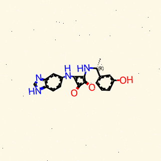 C[C@@H](Nc1c(Nc2ccc3[nH]cnc3c2)c(=O)c1=O)c1cccc(O)c1